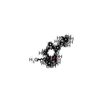 CCCCCCCN1CC(C(O)C2NC(=O)C(C(O)C3CNC(=N)N3)NC(=O)C(Cc3ccc(OC4OC(CO)C(OC5OC(CO)C(O)C(O)C5O)C(O)C4O)cc3)NC(=O)C(C(C)c3ccccc3)NC(=O)CNC(=O)C(CO)NC2=O)N(C2OC(CO)C(O)C(O)C2O)C1=N